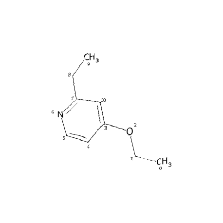 CCOc1ccnc(CC)c1